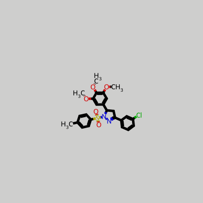 COc1cc(C2CC(c3cccc(Cl)c3)=NN2S(=O)(=O)c2ccc(C)cc2)cc(OC)c1OC